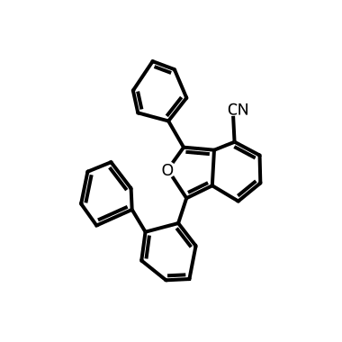 N#Cc1cccc2c(-c3ccccc3-c3ccccc3)oc(-c3ccccc3)c12